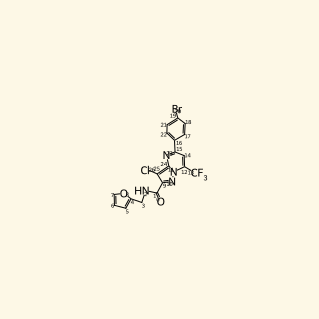 O=C(NCc1ccco1)c1nn2c(C(F)(F)F)cc(-c3ccc(Br)cc3)nc2c1Cl